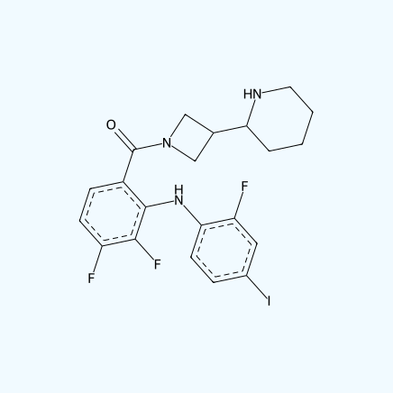 O=C(c1ccc(F)c(F)c1Nc1ccc(I)cc1F)N1CC(C2CCCCN2)C1